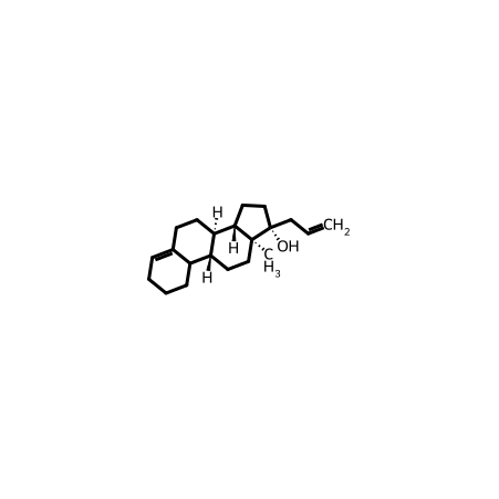 C=CC[C@]1(O)CC[C@H]2[C@@H]3CCC4=CCCCC4[C@H]3CC[C@@]21C